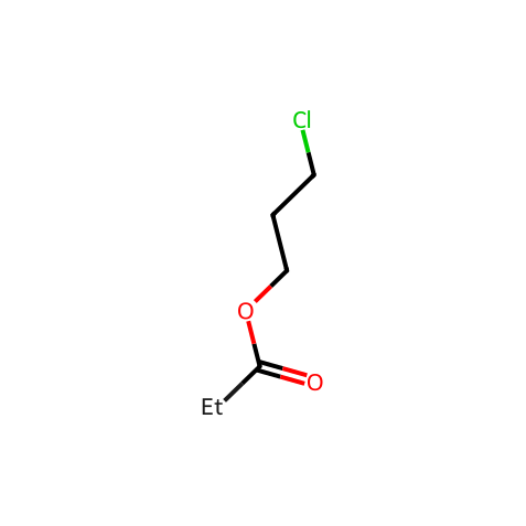 [CH2]CC(=O)OCCCCl